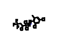 Cc1cc(Cl)cc(Cl)c1/N=N/C(Cl)(Cl)C(=O)CC(F)(F)F